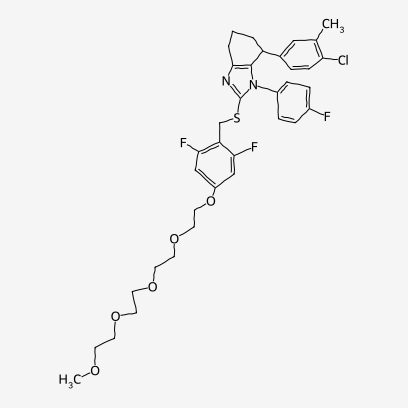 COCCOCCOCCOCCOc1cc(F)c(CSc2nc3c(n2-c2ccc(F)cc2)C(c2ccc(Cl)c(C)c2)CCC3)c(F)c1